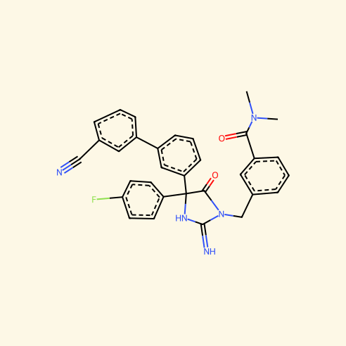 CN(C)C(=O)c1cccc(CN2C(=N)NC(c3ccc(F)cc3)(c3cccc(-c4cccc(C#N)c4)c3)C2=O)c1